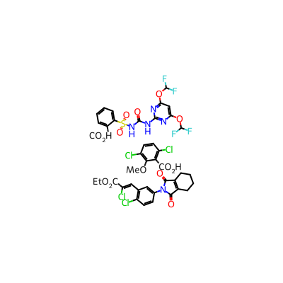 CCOC(=O)/C(Cl)=C/c1cc(N2C(=O)C3=C(CCCC3)C2=O)ccc1Cl.COc1c(Cl)ccc(Cl)c1C(=O)O.O=C(Nc1nc(OC(F)F)cc(OC(F)F)n1)NS(=O)(=O)c1ccccc1C(=O)O